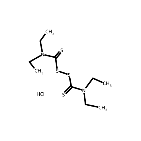 CCN(CC)C(=S)SSC(=S)N(CC)CC.Cl